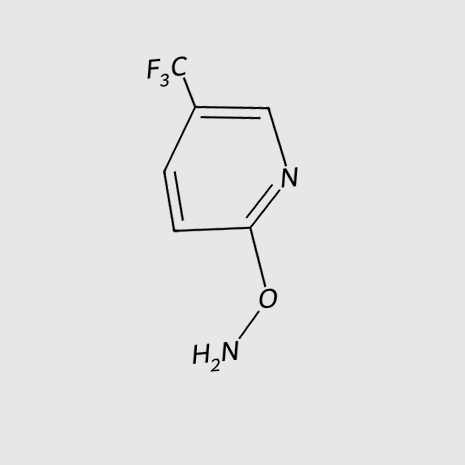 NOc1ccc(C(F)(F)F)cn1